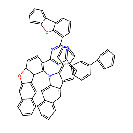 C1=CC2Oc3cc4ccccc4cc3C2C(n2c3cc4ccccc4cc3c3ccc4ccccc4c32)=C1c1nc(-c2cccc(-c3ccccc3)c2)nc(-c2cccc3c2oc2ccccc23)n1